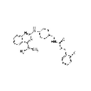 CN(C)c1nc(NC2CCC(CNC(=O)OCc3ccccc3Cl)CC2)nc2ccccc12